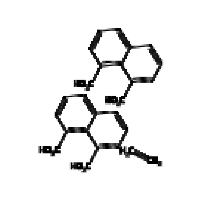 C=C.O=C(O)c1cccc2cccc(C(=O)O)c12.O=C(O)c1cccc2cccc(C(=O)O)c12